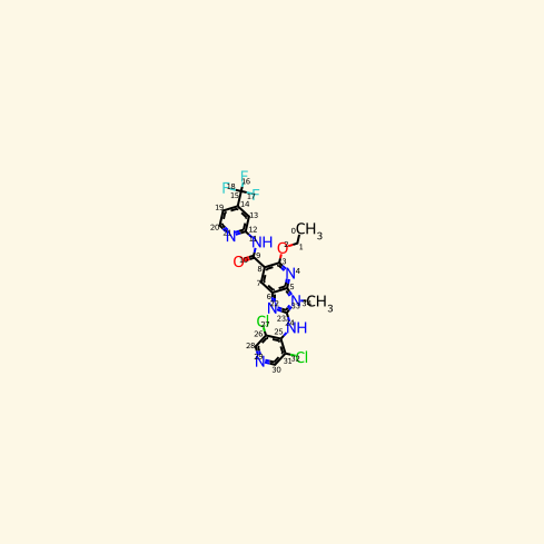 CCOc1nc2c(cc1C(=O)Nc1cc(C(F)(F)F)ccn1)nc(Nc1c(Cl)cncc1Cl)n2C